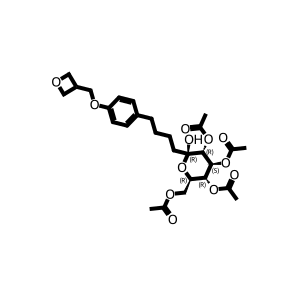 CC(=O)OC[C@H]1O[C@](O)(CCCCc2ccc(OCC3COC3)cc2)[C@H](OC(C)=O)[C@@H](OC(C)=O)[C@@H]1OC(C)=O